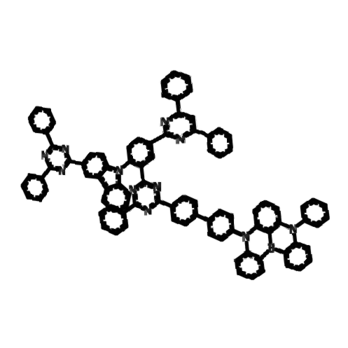 c1ccc(-c2cc(-c3ccccc3)nc(-c3ccc(-n4c5ccccc5c5cc(-c6nc(-c7ccccc7)nc(-c7ccccc7)n6)ccc54)c(-c4nc(-c5ccccc5)nc(-c5ccc(-c6ccc(N7c8ccccc8B8c9ccccc9N(c9ccccc9)c9cccc7c98)cc6)cc5)n4)c3)n2)cc1